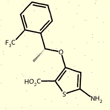 C[C@@H](Oc1cc(N)sc1C(=O)O)c1ccccc1C(F)(F)F